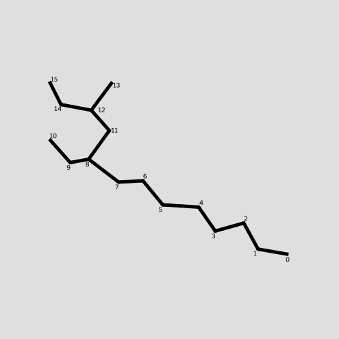 CCCCCCCCC(CC)CC(C)CC